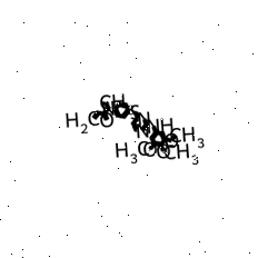 C=CC(=O)N(C)c1ccc(Sc2ccnc(Nc3cc(OC)c(OC)c(OC)c3)n2)cc1